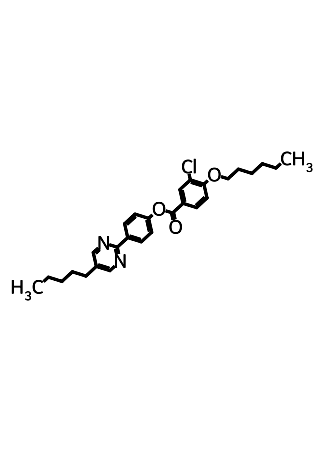 CCCCCCOc1ccc(C(=O)Oc2ccc(-c3ncc(CCCCC)cn3)cc2)cc1Cl